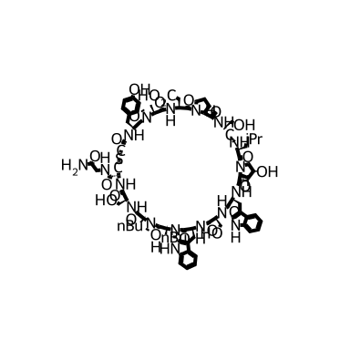 CCCC[C@H]1C(O)N(C)[C@@H](CCCC)C(=O)N[C@@H](CO)C(=O)N[C@H](C(=O)NCC(N)=O)CSCC(=O)N[C@@H](Cc2ccc(O)cc2)C(=O)N(C)[C@@H](C)C(=O)N[C@@H](CC(=O)O)C(=O)N2CCC[C@H]2C(=O)N[C@@H](CO)CN[C@@H](CC(C)C)C(=O)N2C[C@H](O)C[C@H]2C(=O)N[C@@H](Cc2c[nH]c3ccccc23)C(=O)N[C@@H](CO)C(=O)N[C@@H](Cc2c[nH]c3ccccc23)C(=O)N1C